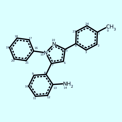 Cc1ccc(-c2cc(-c3ccccc3N)n(-c3ccccc3)n2)cc1